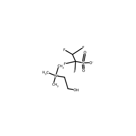 C[N+](C)(C)CCO.O=S(=O)([O-])C(F)(F)C(F)F